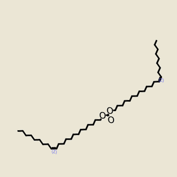 CCCCCCCC/C=C\CCCCCCCCCCCCOC(=O)OCCCCCCCCCCCC/C=C\CCCCCCCC